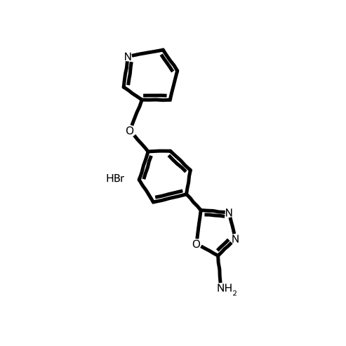 Br.Nc1nnc(-c2ccc(Oc3cccnc3)cc2)o1